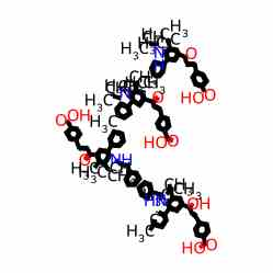 Cc1c(C(=O)C=Cc2ccc(C(=O)O)cc2)cc(-c2ccccc2)c(NCCc2ccccc2)c1C(C)(C)C.Cc1ccc(-c2cc(C(=O)C=Cc3ccc(C(=O)O)cc3)cc(C(C)(C)C)c2N(C)CC(C)C)cc1.Cc1ccc(-c2cc(C(=O)C=Cc3ccc(C(=O)O)cc3)cc(C(C)(C)C)c2NCC(C)C)cc1.Cc1ccc(-c2cc(C(O)C=Cc3ccc(C(=O)O)cc3)cc(C(C)(C)C)c2NCc2ccccc2)cc1